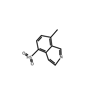 Cc1ccc([SH](=O)=O)c2ccncc12